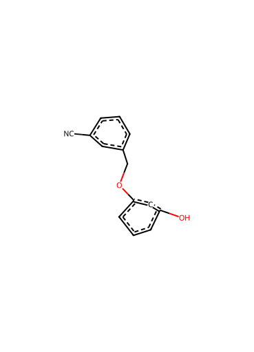 N#Cc1cccc(COc2cccc(O)c2)c1